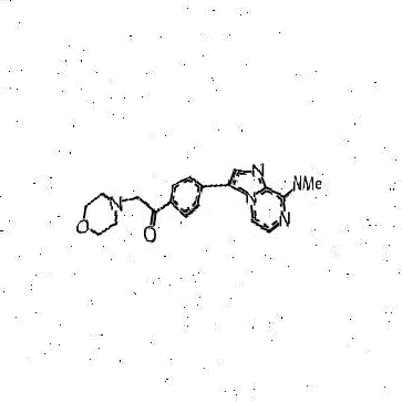 CNc1nccn2c(-c3ccc(C(=O)CN4CCOCC4)cc3)cnc12